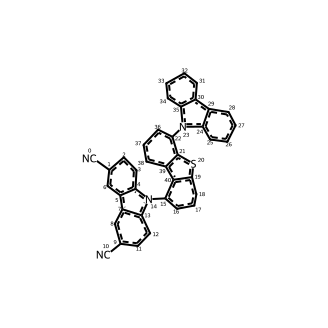 N#Cc1ccc2c(c1)c1cc(C#N)ccc1n2-c1cccc2sc3c(-n4c5ccccc5c5ccccc54)cccc3c12